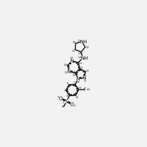 CS(=O)(=O)c1ccc(-n2ncc3c(NC4CCNC4)ncnc32)c(F)c1